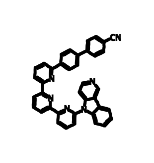 N#Cc1ccc(-c2ccc(-c3cccc(-c4cccc(-c5cccc(-n6c7ccccc7c7cnccc76)n5)n4)n3)cc2)cc1